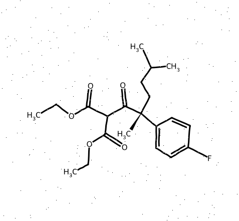 CCOC(=O)C(C(=O)OCC)C(=O)[C@](C)(CCC(C)C)c1ccc(F)cc1